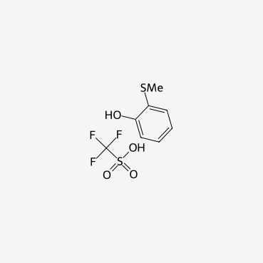 CSc1ccccc1O.O=S(=O)(O)C(F)(F)F